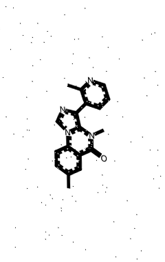 Cc1ccc2c(c1)c(=O)n(C)c1c(-c3cccnc3C)ncn21